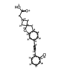 O=C(O)CN1CC2(Cc3ccc(C#Cc4ccccc4Cl)cc3O2)C1